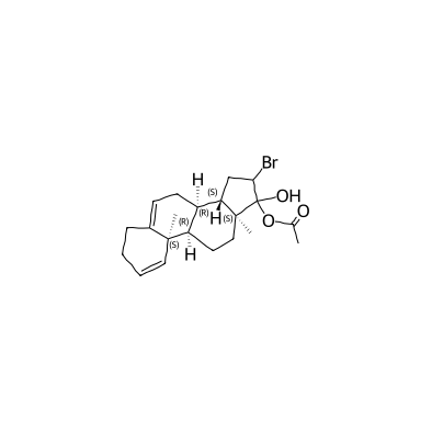 CC(=O)OC1(O)C(Br)C[C@H]2[C@@H]3CC=C4CCC=C[C@]4(C)[C@@H]3CC[C@@]21C